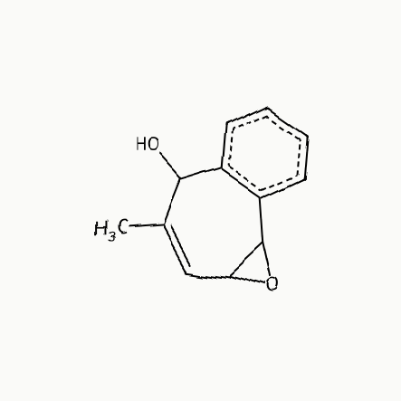 CC1=CC2OC2c2ccccc2C1O